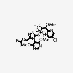 COc1ncnc(OC)c1-n1c(COC(F)F)nnc1NS(=O)(=O)[C@@H](C)[C@H](OC)c1ncc(Cl)cn1